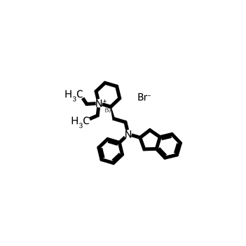 CC[N+]1(CC)CCCC[C@H]1CCN(c1ccccc1)C1Cc2ccccc2C1.[Br-]